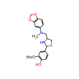 COc1cc(C2NC(CN(C)c3ccc4c(c3)OCO4)CS2)ccc1O